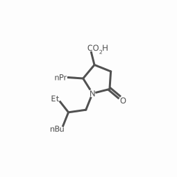 CCCCC(CC)CN1C(=O)CC(C(=O)O)C1CCC